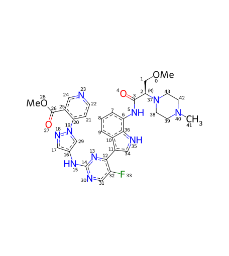 COC[C@H](C(=O)Nc1cccc2c(-c3nc(Nc4cnn(-c5ccncc5C(=O)OC)c4)ncc3F)c[nH]c12)N1CCN(C)CC1